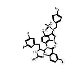 COc1ccc(CN(c2nn(C)c3c(-n4c(C(Cc5cc(F)cc(F)c5)NC(=O)O)nc5ccc(OC)cc5c4=O)ccc(Cl)c23)S(C)(=O)=O)cc1